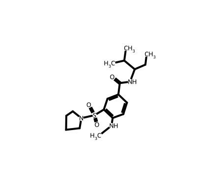 CCC(NC(=O)c1ccc(NC)c(S(=O)(=O)N2CCCC2)c1)C(C)C